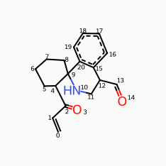 C=CC(=O)C1CCCCC12NCC(C=O)c1ccccc12